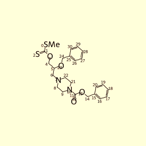 CSC(=S)OCC(CN1CCN(C(=O)OCc2ccccc2)CC1)OCc1ccccc1